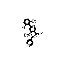 CCCC(OCc1ccncc1)c1cnc(-c2c(CC)cccc2CC)cc1OCC